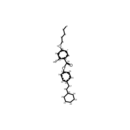 CCCCCOc1ccc(C(=O)Oc2ccc(CCC3CC[CH]CC3)cc2)c(F)c1